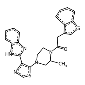 CC1CN(c2scnc2-c2nc3ccccc3[nH]2)CCN1C(=O)Cc1csc2ccccc12